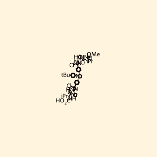 COC(=O)N[C@H](C(=O)N1CCC[C@H]1c1nc(-c2ccc([C@H]3CC[C@H](c4ccc(-c5nc([C@@H]6CCCN6C(=O)[C@@H](NC(=O)O)C(C)C)[nH]c5Cl)cc4)N3c3ccc(C(C)(C)C)cc3)cc2)c(Cl)[nH]1)C(C)C